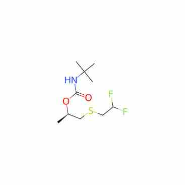 C[C@H](CSCC(F)F)OC(=O)NC(C)(C)C